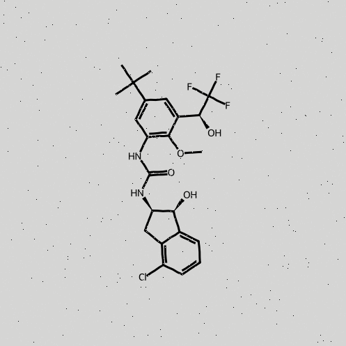 COc1c(NC(=O)N[C@@H]2Cc3c(Cl)cccc3[C@@H]2O)cc(C(C)(C)C)cc1[C@H](O)C(F)(F)F